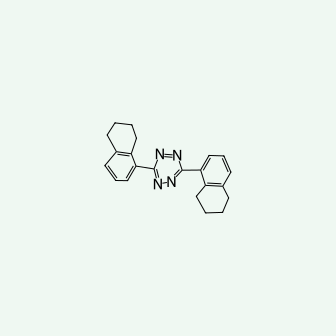 c1cc2c(c(-c3nnc(-c4cccc5c4CCCC5)nn3)c1)CCCC2